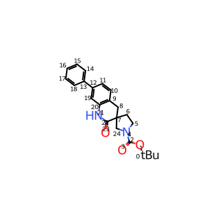 CC(C)(C)OC(=O)N1CCC2(Cc3ccc(-c4ccccc4)cc3NC2=O)C1